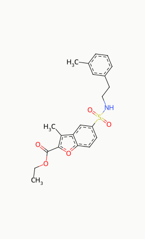 CCOC(=O)c1oc2ccc(S(=O)(=O)NCCc3cccc(C)c3)cc2c1C